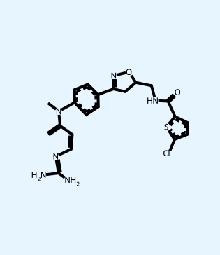 C=C(/C=C\N=C(N)N)N(C)c1ccc(C2=NOC(CNC(=O)c3ccc(Cl)s3)C2)cc1